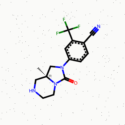 C[C@@]12CNCCN1C(=O)N(c1ccc(C#N)c(C(F)(F)F)c1)C2